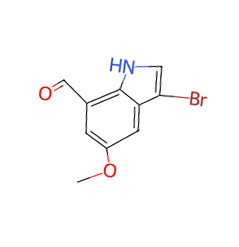 COc1cc(C=O)c2[nH]cc(Br)c2c1